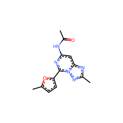 CC(=O)Nc1cc2nc(C)nn2c(-c2ccc(C)o2)n1